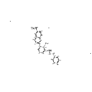 CNc1ncc2cc(-c3cccc(NSCc4ccccc4)c3F)ccc2n1